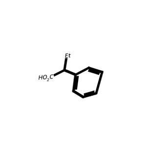 CCC(C(=O)O)c1[c]cccc1